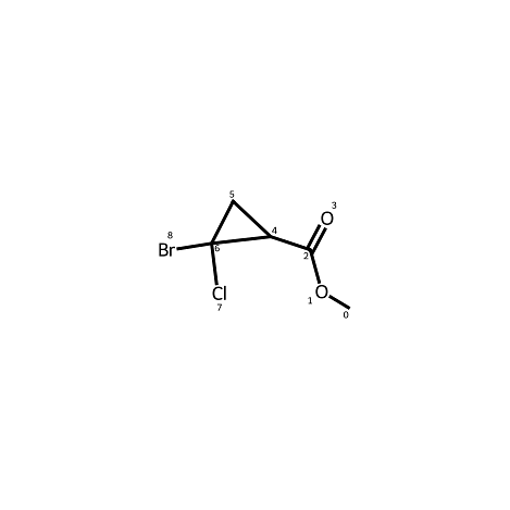 COC(=O)C1CC1(Cl)Br